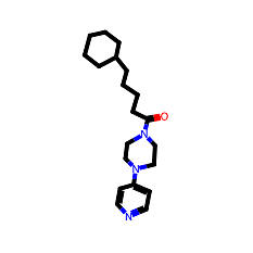 O=C(CCCCC1CCCCC1)N1CCN(c2ccncc2)CC1